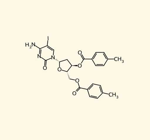 Cc1ccc(C(=O)OC[C@@H]2O[C@H](n3cc(I)c(N)nc3=O)C[C@H]2OC(=O)c2ccc(C)cc2)cc1